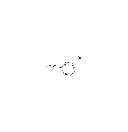 CC[C@H](C)c1cccc(C(=O)O)c1